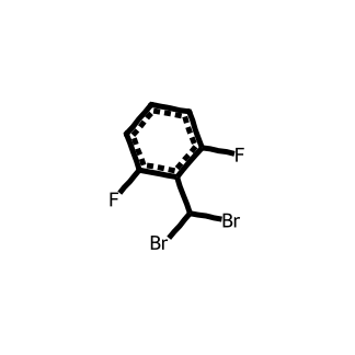 Fc1cccc(F)c1C(Br)Br